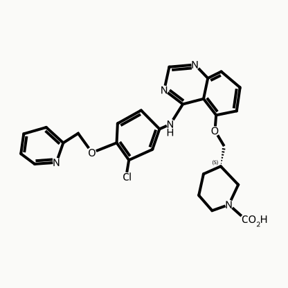 O=C(O)N1CCC[C@H](COc2cccc3ncnc(Nc4ccc(OCc5ccccn5)c(Cl)c4)c23)C1